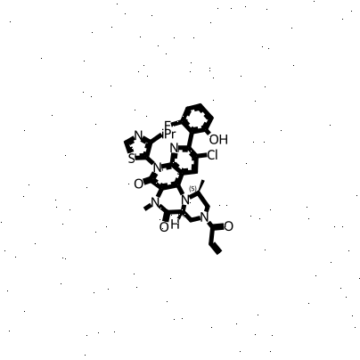 C=CC(=O)N1C[C@@H]2C(=O)N(C)c3c(c4cc(Cl)c(-c5c(O)cccc5F)nc4n(-c4scnc4C(C)C)c3=O)N2[C@@H](C)C1